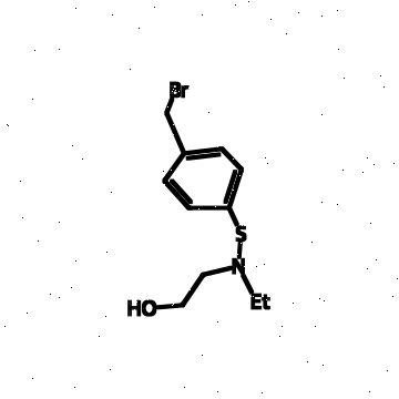 CCN(CCO)Sc1ccc(CBr)cc1